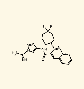 N=C(N)n1cc(NC(=O)c2cc3ccccc3nc2N2CCCC(F)(F)CC2)cn1